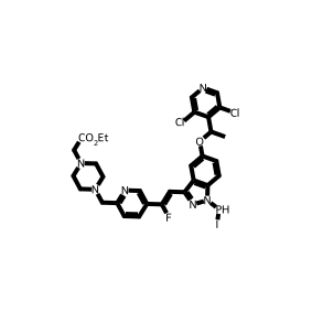 CCOC(=O)CN1CCN(Cc2ccc(/C(F)=C/c3nn(PI)c4ccc(OC(C)c5c(Cl)cncc5Cl)cc34)cn2)CC1